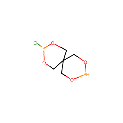 ClP1OCC2(COPOC2)CO1